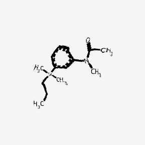 CCC[Si](C)(C)c1cccc(N(C)C(C)=O)c1